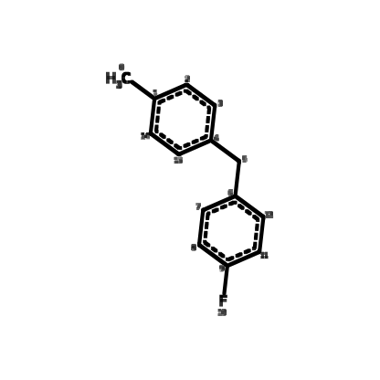 Cc1ccc(Cc2ccc(F)cc2)cc1